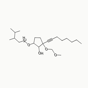 CCCCCCC#CC1(OCOC)CCC(O[SiH2]CC(C)C(C)C)C1O